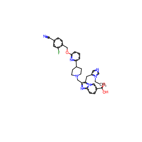 CCn1cncc1Cc1c(CN2CCC(c3cccc(OCc4ccc(C#N)cc4F)n3)CC2)nc2ccc(C(=O)O)cn12